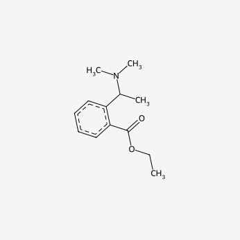 CCOC(=O)c1ccccc1C(C)N(C)C